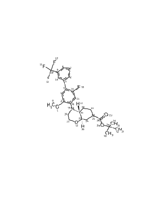 COc1cc(-c2cccc(C(F)(F)F)c2)c(F)cc1N1CCO[C@@H]2CN(C(=O)OC(C)(C)C)CC[C@H]21